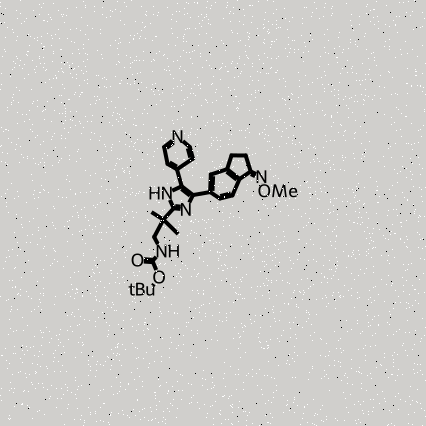 CO/N=C1/CCc2cc(-c3nc(C(C)(C)CNC(=O)OC(C)(C)C)[nH]c3-c3ccncc3)ccc21